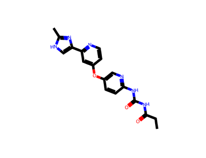 CCC(=O)NC(=O)Nc1ccc(Oc2ccnc(-c3c[nH]c(C)n3)c2)cn1